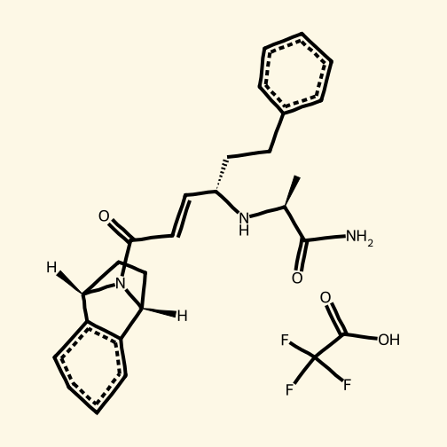 C[C@H](N[C@H](/C=C/C(=O)N1[C@@H]2CC[C@H]1c1ccccc12)CCc1ccccc1)C(N)=O.O=C(O)C(F)(F)F